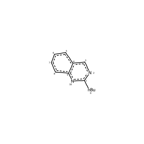 [CH2]CCCc1ncc2ccccc2n1